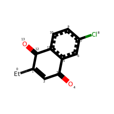 CCC1=CC(=O)c2cc(Cl)ccc2C1=O